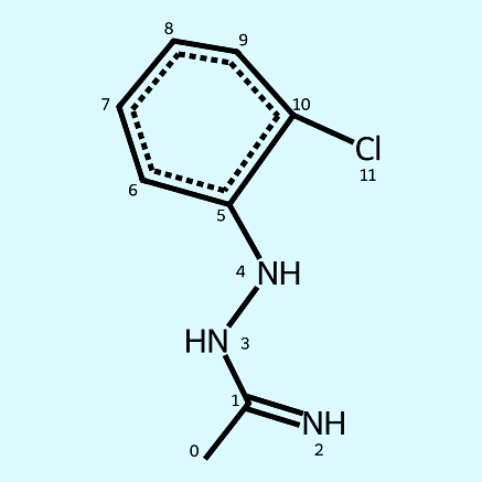 CC(=N)NNc1ccccc1Cl